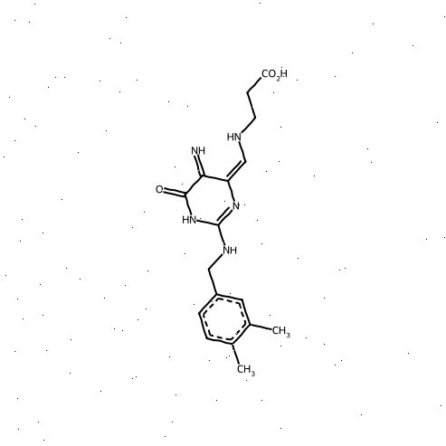 Cc1ccc(CNC2=N/C(=C/NCCC(=O)O)C(=N)C(=O)N2)cc1C